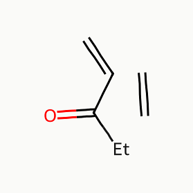 C=C.C=CC(=O)CC